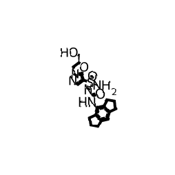 N[S@@](=O)(=NC(=O)Nc1c2c(cc3c1CCC3)CCC2)c1cnn2c1O[C@H](CO)C2